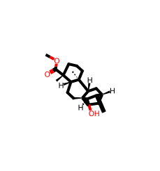 C=C1[C@H]2CC[C@@]3(CC[C@H]4[C@@](C)(CCC[C@@]4(C)C(=O)OC)[C@@H]3C2)[C@@H]1O